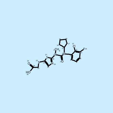 CN(C(=O)N(c1cccc(F)c1Cl)C1CCCC1)c1ncc(SCC(=O)O)s1